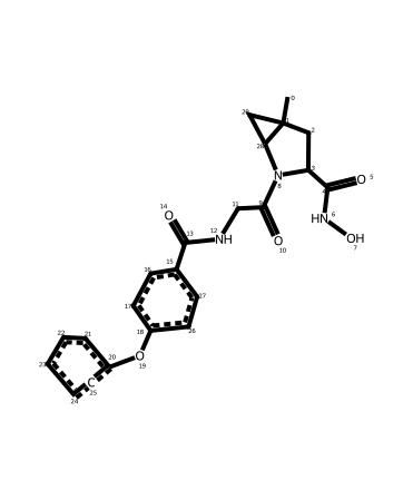 CC12CC(C(=O)NO)N(C(=O)CNC(=O)c3ccc(Oc4ccccc4)cc3)C1C2